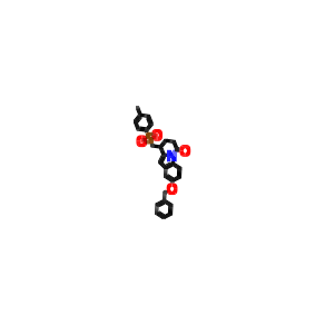 Cc1ccc(S(=O)(=O)CC2CCC(=O)n3c2cc2cc(OCc4ccccc4)ccc23)cc1